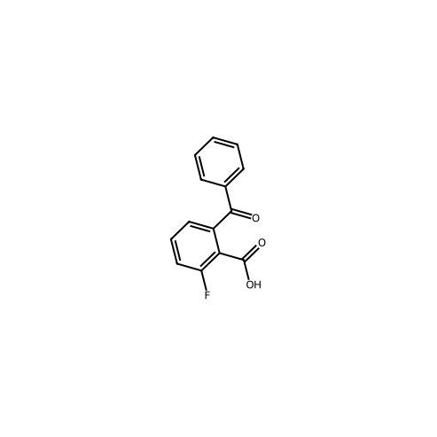 O=C(c1ccccc1)c1cccc(F)c1C(=O)O